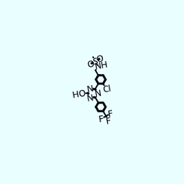 CS(=O)(=O)NCc1ccc(Cl)c(-c2nc(O)nc(-c3ccc(C(F)(F)F)cc3)n2)c1